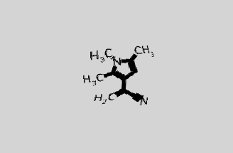 C=C(C#N)c1cc(C)n(C)c1C